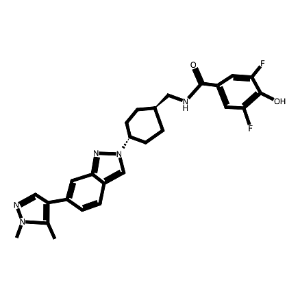 Cc1c(-c2ccc3cn([C@H]4CC[C@H](CNC(=O)c5cc(F)c(O)c(F)c5)CC4)nc3c2)cnn1C